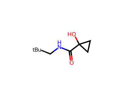 CC(C)(C)CNC(=O)C1(O)CC1